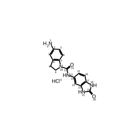 Cl.Nc1ccc2c(c1)CCN2C(=O)Nc1ccc2[nH]c(=O)[nH]c2c1